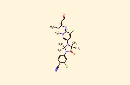 CCC(=C/C=O)/N=c1/c(F)cc(N2C(C)(C)C(=O)N(c3ccc(C#N)c(Cl)c3)C2(C)C)cn1C